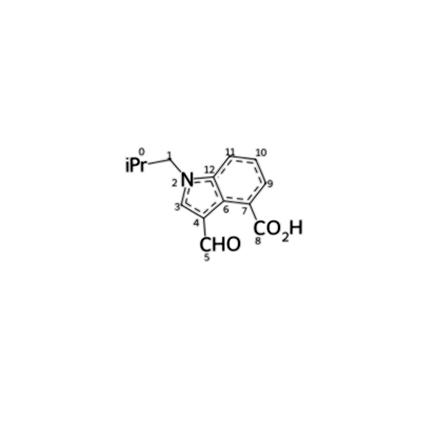 CC(C)Cn1cc(C=O)c2c(C(=O)O)cccc21